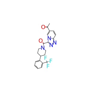 CC(=O)c1ccc2nnc(C(=O)N3CCC(c4ccccc4C(F)(F)F)CC3)n2c1